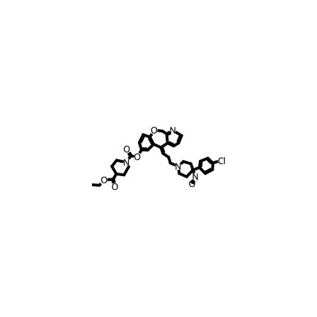 CCOC(=O)C1CCN(C(=O)Oc2ccc3c(c2)/C(=C/CCN2CCC(N=O)(c4ccc(Cl)cc4)CC2)c2cccnc2CO3)CC1